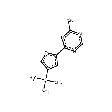 CC(C)(C)c1ncnc(-c2cc([Si](C)(C)C)co2)n1